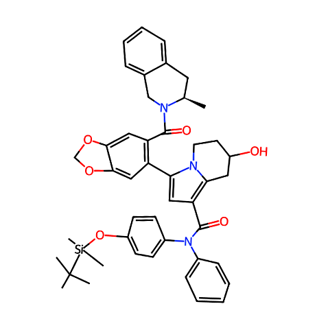 C[C@@H]1Cc2ccccc2CN1C(=O)c1cc2c(cc1-c1cc(C(=O)N(c3ccccc3)c3ccc(O[Si](C)(C)C(C)(C)C)cc3)c3n1CCC(O)C3)OCO2